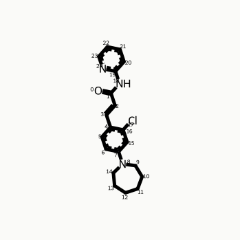 O=C(/C=C/c1ccc(N2CCCCCC2)cc1Cl)Nc1ccccn1